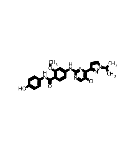 COc1cc(Nc2ncc(Cl)c(-c3ccn(C(C)C)n3)n2)ccc1C(=O)Nc1ccc(O)cc1